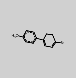 Cc1ccc(C2=CC=C(Br)CC2)cc1